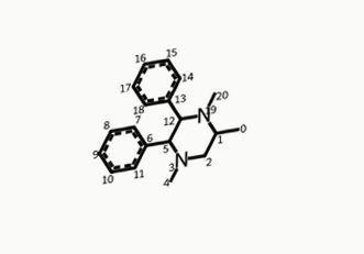 CC1CN(C)C(c2ccccc2)C(c2ccccc2)N1C